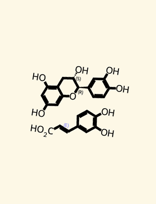 O=C(O)/C=C/c1ccc(O)c(O)c1.Oc1cc(O)c2c(c1)O[C@H](c1ccc(O)c(O)c1)[C@@H](O)C2